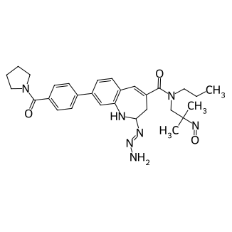 CCCN(CC(C)(C)N=O)C(=O)C1=Cc2ccc(-c3ccc(C(=O)N4CCCC4)cc3)cc2NC(N=NN)C1